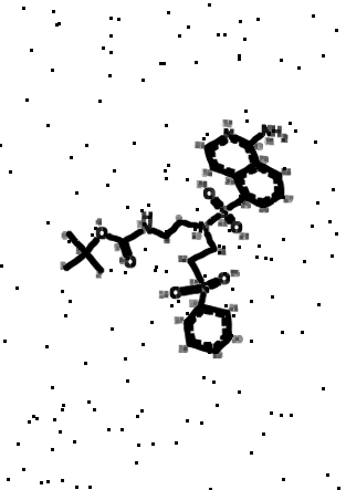 CC(C)(C)OC(=O)NCCN(CCS(=O)(=O)c1ccccc1)S(=O)(=O)c1cccc2c(N)nccc12